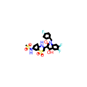 CS(=O)(=O)Nc1ccc2c(c1)S(=O)(=O)C=C(c1c(O)c3cc(F)c(F)cc3n(Cc3ccc(F)cc3)c1=O)N2